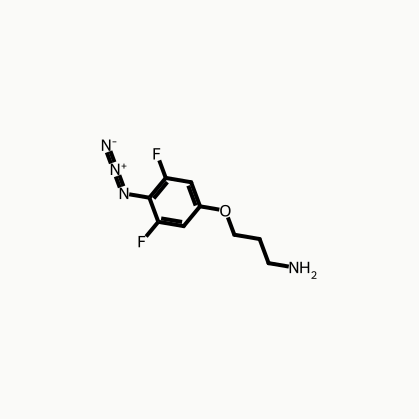 [N-]=[N+]=Nc1c(F)cc(OCCCN)cc1F